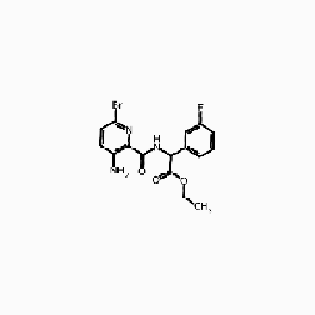 CCOC(=O)C(NC(=O)c1nc(Br)ccc1N)c1cccc(F)c1